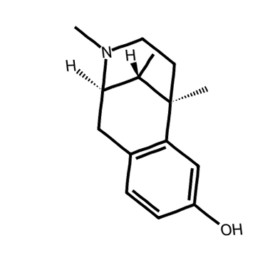 C[C@H]1[C@H]2Cc3ccc(O)cc3[C@]1(C)CCN2C